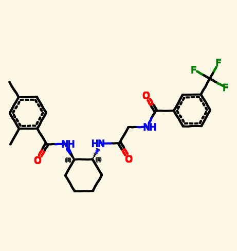 Cc1ccc(C(=O)N[C@@H]2CCCC[C@H]2NC(=O)CNC(=O)c2cccc(C(F)(F)F)c2)c(C)c1